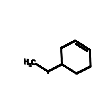 C[CH]C1CC=CCC1